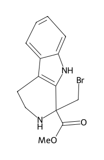 COC(=O)C1(CBr)NCCc2c1[nH]c1ccccc21